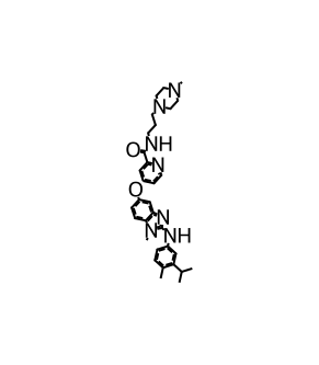 Cc1ccc(Nc2nc3cc(Oc4ccnc(C(=O)NCCCN5CCN(C)CC5)c4)ccc3n2C)cc1C(C)C